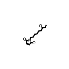 CCC(=O)CCCCCCN1C(=O)C=CC1=O